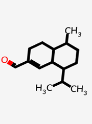 CC(C)C1CCC(C)C2CCC(C=O)=CC12